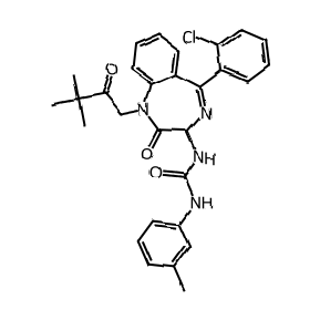 Cc1cccc(NC(=O)NC2N=C(c3ccccc3Cl)c3ccccc3N(CC(=O)C(C)(C)C)C2=O)c1